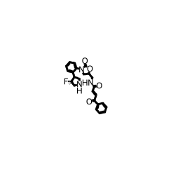 O=C(C=CC(=O)c1ccccc1)NCC1CN(c2ccccc2C2CNC[C@H]2F)C(=O)O1